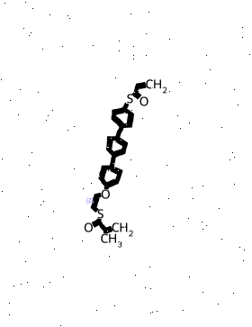 C=CC(=O)Sc1ccc(-c2ccc(-c3ccc(O/C=C\SC(=O)C(=C)C)cc3)cc2)cc1